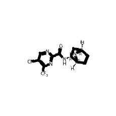 O=C(N[C@@H]1C[C@H]2CC[C@@H]1N2)c1ncc(Cl)c(C(F)(F)F)n1